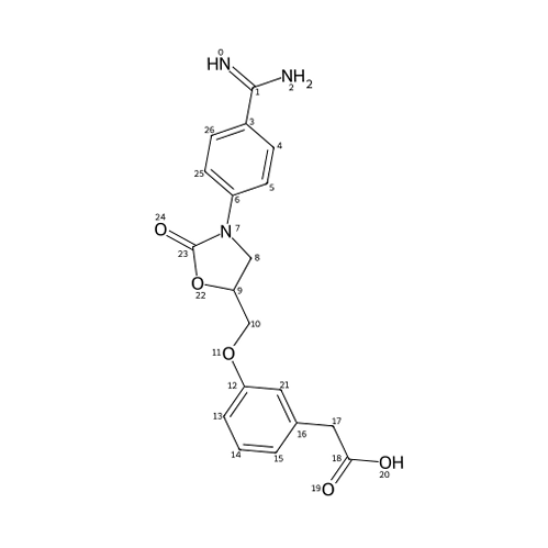 N=C(N)c1ccc(N2CC(COc3cccc(CC(=O)O)c3)OC2=O)cc1